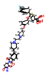 O=C1CCC(N2C(=O)c3ccc(C4CCN(CCN5CCC(COc6ccc(Oc7c(-c8ccc(F)cc8)sc8cc(B(O)O)ccc78)cc6)CC5)CC4)cc3C2=O)C(=O)N1